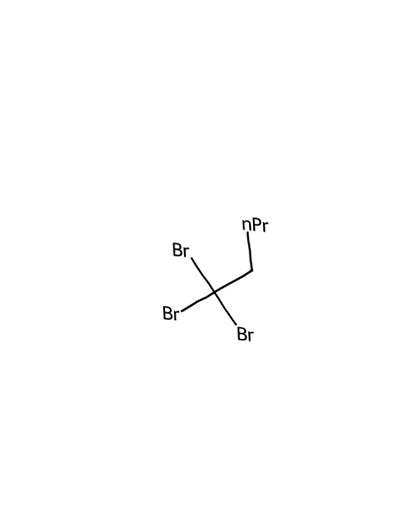 [CH2]CCCC(Br)(Br)Br